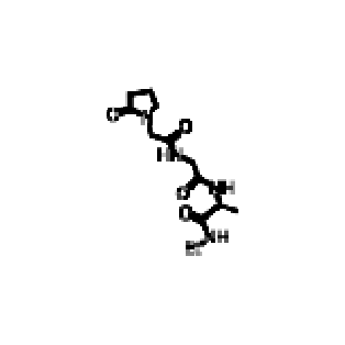 CCNC(=O)[C@H](C)NC(=O)CNC(=O)CN1CCCC1=O